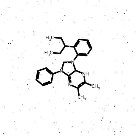 CCC(CC)c1ccccc1N1CN(c2ccccc2)C2=NC(C)=C(C)NC21